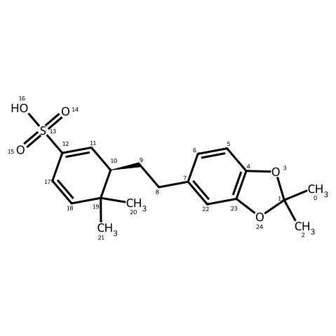 CC1(C)Oc2ccc(CC[C@@H]3C=C(S(=O)(=O)O)C=CC3(C)C)cc2O1